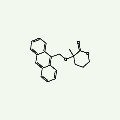 CC1(OCc2c3ccccc3cc3ccccc23)CCCOC1=O